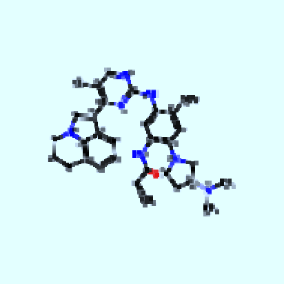 C=CC(=O)Nc1cc(Nc2ncc(C#N)c(-c3cn4c5c(cccc35)CCC4)n2)c(OC)cc1N1CC[C@@H](N(C)C)C1